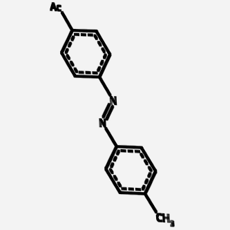 CC(=O)c1ccc(/N=N/c2ccc(C)cc2)cc1